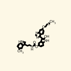 COCCOc1ccc2c(-c3c(O)[nH]c4ccc(OC(=O)NCCc5c[nH]c6ccc(C)cc56)cc34)ncnc2c1